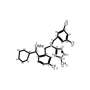 COC(c1ccc(C(F)(F)F)cc1CN(Cc1cc(Cl)cc(Cl)c1)c1nnn(C)n1)C1CCCCC1